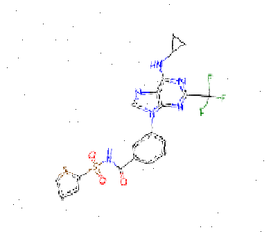 O=C(NS(=O)(=O)c1cccs1)c1cccc(-n2cnc3c(NC4CC4)nc(C(F)(F)F)nc32)c1